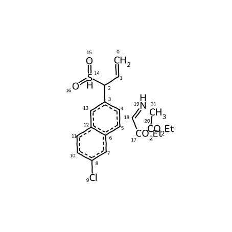 C=CC(c1ccc2cc(Cl)ccc2c1)[SH](=O)=O.CCOC(=O)C=N.CCOC(C)=O